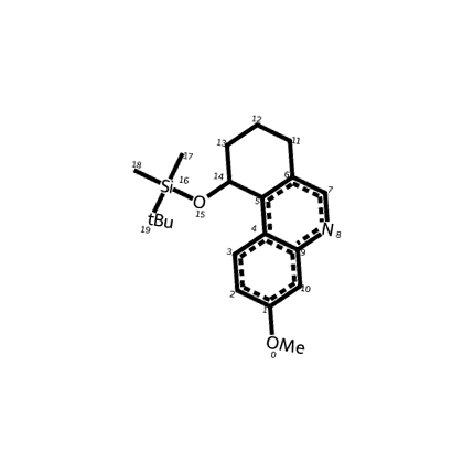 COc1ccc2c3c(cnc2c1)CCCC3O[Si](C)(C)C(C)(C)C